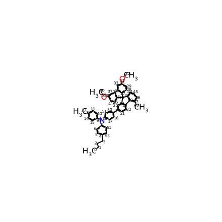 CCCCc1ccc(N(c2ccc(C)cc2)c2ccc(-c3ccc4c(c3)C(c3ccc(OC)cc3)(c3ccc(OC)cc3)c3cccc(C)c3-4)cc2)cc1